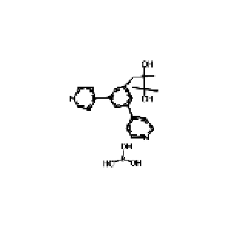 CC(C)(O)C(C)(O)Cc1cc(-c2ccncc2)cc(-c2ccncc2)c1.OB(O)O